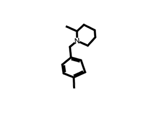 Cc1ccc(CN2CCCCC2C)cc1